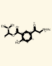 CCN(CC)C(C)OC(=O)c1cc(C(=O)CNC(C)=O)ccc1O